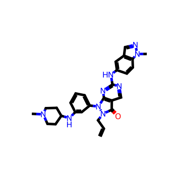 C=CCn1c(=O)c2cnc(Nc3ccc4c(cnn4C)c3)nc2n1-c1cccc(NC2CCN(C)CC2)c1